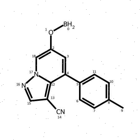 BOc1cc(-c2ccc(C)cc2)c2c(C#N)cnn2c1